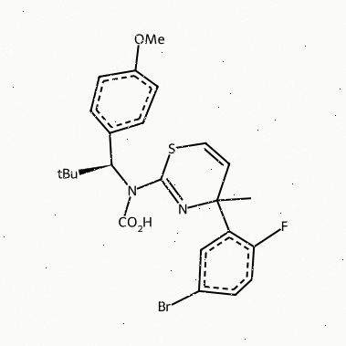 COc1ccc([C@@H](N(C(=O)O)C2=NC(C)(c3cc(Br)ccc3F)C=CS2)C(C)(C)C)cc1